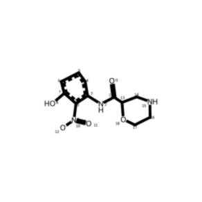 O=C(Nc1cccc(O)c1[N+](=O)[O-])C1CNCCO1